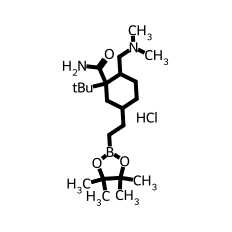 CN(C)CC1CCC(CCB2OC(C)(C)C(C)(C)O2)CC1(C(N)=O)C(C)(C)C.Cl